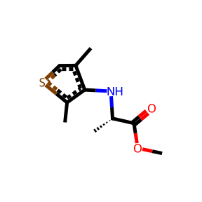 COC(=O)[C@H](C)Nc1c(C)csc1C